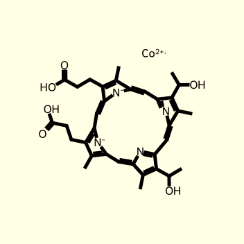 CC1=C(C(C)O)c2cc3nc(cc4[n-]c(cc5[n-]c(cc1n2)c(C)c5CCC(=O)O)c(CCC(=O)O)c4C)C(C(C)O)=C3C.[Co+2]